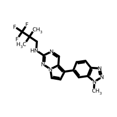 Cn1nnc2ccc(-c3ccn4nc(NCC(C)(C)C(F)(F)F)ncc34)cc21